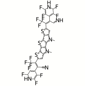 Cn1c2cc(/C(=C(\C#N)C3=C(F)C(F)NC(F)=C3F)C(F)(F)F)sc2c2sc3c4sc(/C(=C(\C=N)C5=C(F)C(F)NC(F)=C5F)C(F)(F)F)cc4n(C)c3c21